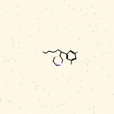 COCCCC[C@@](O)(c1cc(F)cc(F)c1)[C@@H]1CCCNC1